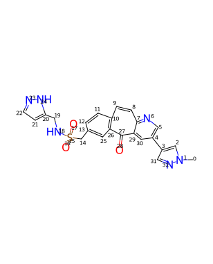 Cn1cc(-c2cnc3ccc4ccc(CS(=O)(=O)NCc5ccn[nH]5)cc4c(=O)c3c2)cn1